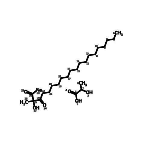 CC(O)C(=O)O.CCCCCCCCCCCCCCCCCC(=O)C(C)(O)[C](=O)[Na]